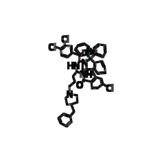 CCCCC(c1ccc(Cl)c(Cl)c1)C(NC(CCCN1CCC(Cc2ccccc2)CC1)NC(=O)c1ccc(Cl)cc1Cl)NC(c1ccccc1)(c1ccccc1)c1ccccc1